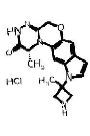 C[C@@H]1C(=O)NN=C2COc3cc4ccn(C5(C)CNC5)c4cc3N21.Cl